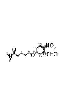 CN(C)C(=O)CCCCOc1ccc([N+](=O)[O-])c(C=O)c1